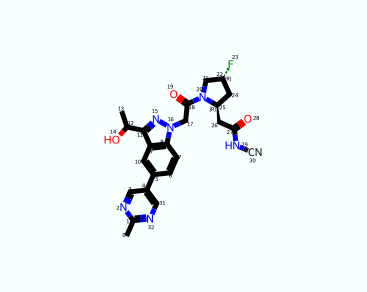 Cc1ncc(-c2ccc3c(c2)c(C(C)O)nn3CC(=O)N2C[C@H](F)C[C@H]2CC(=O)NC#N)cn1